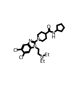 CCN(CC)CCn1c(N2CCC(C(=O)NC3CCCC3)CC2)nc2cc(Cl)c(Cl)cc21